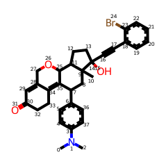 CN(C)c1ccc(C2CC3(C)C(CCC3(O)C#Cc3ccccc3Br)C3OCC4=CC(=O)CCC4=C23)cc1